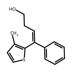 Cc1ccsc1C(=CCCO)c1ccccc1